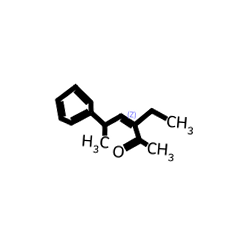 CC/C(=C/C(C)c1ccccc1)C(C)=O